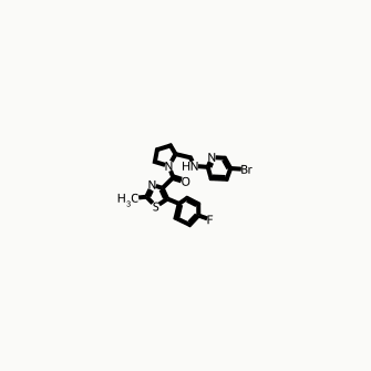 Cc1nc(C(=O)N2CCCC2CNc2ccc(Br)cn2)c(-c2ccc(F)cc2)s1